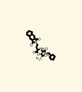 CC(C)C[C@@H](NC(CCN1C(=O)c2cc3ccccc3cc2C1=O)C(=O)O)C(=O)NCc1ccccc1